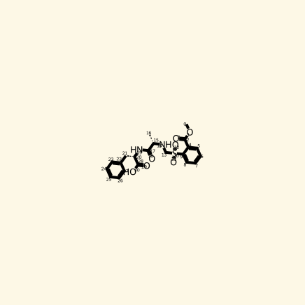 COC(=O)c1ccccc1S(=O)(=O)CN[C@@H](C)C(=O)N[C@@H](Cc1ccccc1)C(=O)O